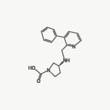 O=C(O)N1CC[C@H](NCc2ncccc2-c2ccccc2)C1